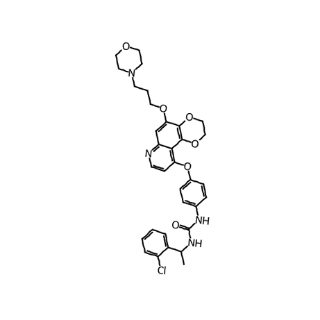 CC(NC(=O)Nc1ccc(Oc2ccnc3cc(OCCCN4CCOCC4)c4c(c23)OCCO4)cc1)c1ccccc1Cl